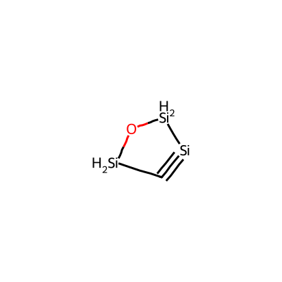 C1#[Si][SiH2]O[SiH2]1